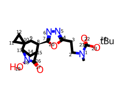 CN(CCc1nnc([C@@H]2CC3(CC3)C3CC2C(=O)N3O)o1)C(=O)OC(C)(C)C